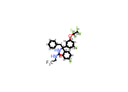 O=C(NCC(F)(F)F)NC(Cc1ccccc1)(c1ccc(F)cc1)c1cc(F)cc(OC(F)(F)C(F)F)c1